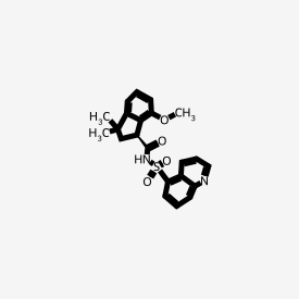 COc1cccc2c1[C@@H](C(=O)NS(=O)(=O)c1cccc3ncccc13)CC2(C)C